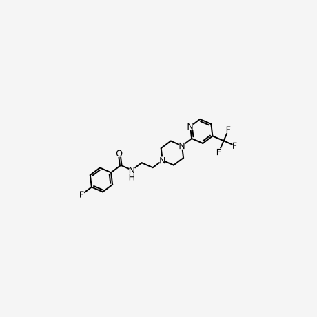 O=C(NCCN1CCN(c2cc(C(F)(F)F)ccn2)CC1)c1ccc(F)cc1